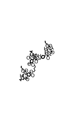 C=CCOC(=O)NC(C(=O)NC(C)C(=O)Nc1ccc(COC(=O)N2c3cc(OCCCCCOc4cc5c(cc4OC)C(=O)N4CC6(CC6)C[C@H]4CN5C(=O)OCC=C)c(OC)cc3C(=O)N3CC4(CC4)C[C@H]3C2O)cc1)C(C)C